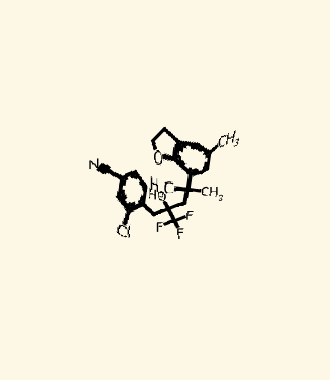 Cc1cc2c(c(C(C)(C)CC(O)(Cc3ccc(C#N)cc3Cl)C(F)(F)F)c1)OCC2